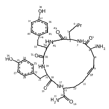 CC(C)CC1NC(=O)C(N)C/C=C\CCC(C(N)=O)NC(=O)C(Cc2ccc(O)cc2)NC(=O)C(Cc2ccc(O)cc2)NC1=O